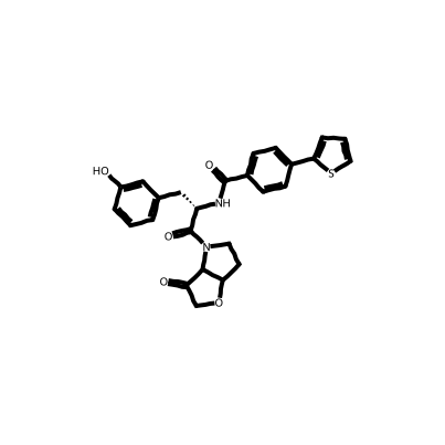 O=C(N[C@@H](Cc1cccc(O)c1)C(=O)N1CCC2OCC(=O)C21)c1ccc(-c2cccs2)cc1